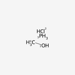 CO.Cl.P